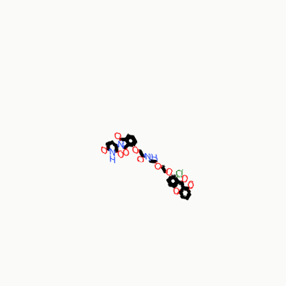 O=C(COc1cccc2c1C(=O)N(C1CCC(=O)NC1=O)C2=O)NCCOCCOc1cccc(C(=O)C2C(=O)CCCC2=O)c1Cl